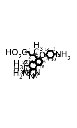 CC(CCC(=O)O)c1c(O[C@H]2CC[C@H](N)CC2)ccc2c1CC(C)(C)c1c(N)ncnc1-2